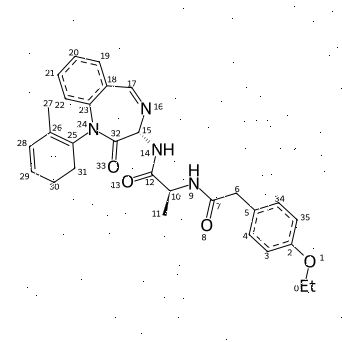 CCOc1ccc(CC(=O)N[C@@H](C)C(=O)N[C@H]2N=Cc3ccccc3N(C3=C(C)C=CCC3)C2=O)cc1